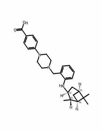 C[C@@H]1[C@@H](Nc2ccccc2CN2CCN(c3ccc(C(=O)O)cc3)CC2)C[C@@H]2C[C@H]1C2(C)C